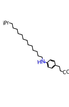 CC(C)CCCCCCCCCCCCCNc1ccc(CCC(=O)O)cc1